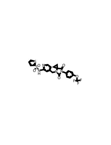 O=C1N(c2ccc(OC(F)(F)F)cc2)C(=O)C2(CC2)N1Cc1ccnc(NS(=O)(=O)c2cccs2)c1